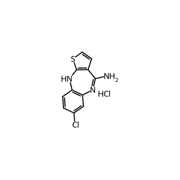 Cl.NC1=Nc2cc(Cl)ccc2Nc2sccc21